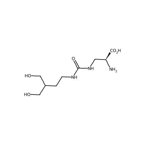 N[C@@H](CNC(=O)NCCC(CO)CO)C(=O)O